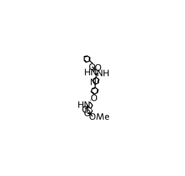 COC(=O)C[C@@H]1C[C@@H](COc2ccc(-c3ccc(C(=N)NC(=O)OCc4ccccc4)cn3)cc2)NC1=O